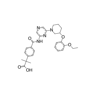 CCOc1ccccc1OC1CCCN(c2cncc(NC(=O)c3ccc(C(C)(C)C(=O)O)cc3)n2)C1